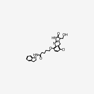 O=C(CCCCOc1ccc(Cl)c2c1N=C1NC(=O)C(CO)N1C2)NN1CCc2ccccc21